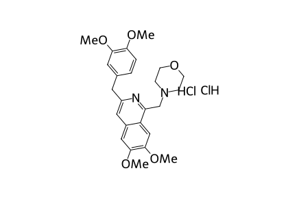 COc1ccc(Cc2cc3cc(OC)c(OC)cc3c(CN3CCOCC3)n2)cc1OC.Cl.Cl